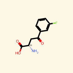 N[C@@H](CC(=O)c1cccc(F)c1)C(=O)O